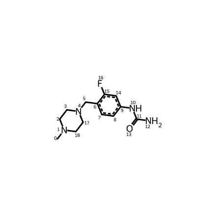 CN1CCN(Cc2ccc(NC(N)=O)cc2F)CC1